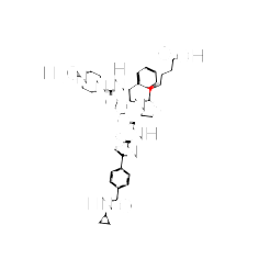 CN1CCN(C(=O)N[C@@H](C(=O)N2C(CCCCC(=O)O)SC[C@H]2C(=O)Nc2nc(-c3ccc(C(=O)NC4CC4)cc3)cs2)C2=CC=CCC2)CC1